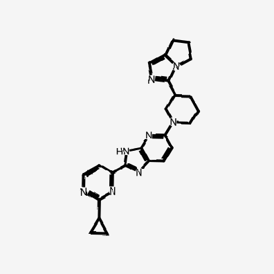 c1cc(-c2nc3ccc(N4CCCC(c5ncc6n5CCC6)C4)nc3[nH]2)nc(C2CC2)n1